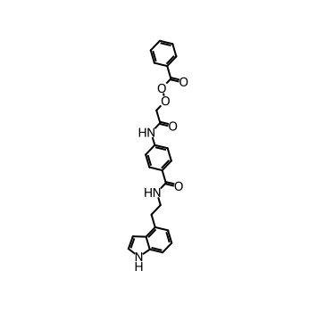 O=C(COOC(=O)c1ccccc1)Nc1ccc(C(=O)NCCc2cccc3[nH]ccc23)cc1